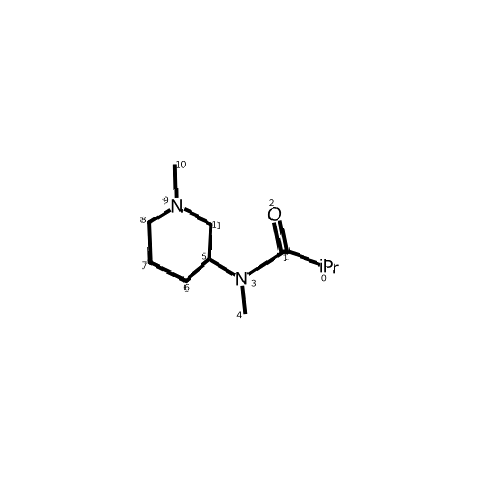 CC(C)C(=O)N(C)C1CCCN(C)C1